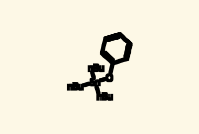 CCC[CH2][Sn]([CH2]CCC)([CH2]CCC)[O]c1ccccc1